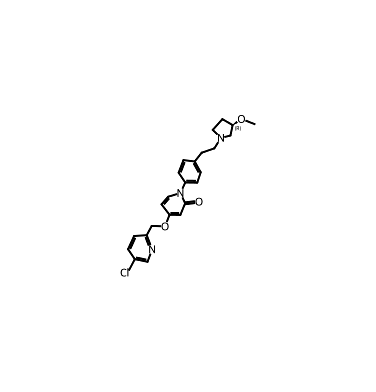 CO[C@@H]1CCN(CCc2ccc(-n3ccc(OCc4ccc(Cl)cn4)cc3=O)cc2)C1